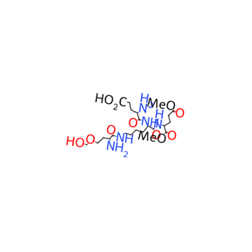 COC(=O)CCC(NC(=O)C(CCCCNC(=O)C(N)CCOCO)NC(=O)C(N)CCC(=O)O)C(=O)OC